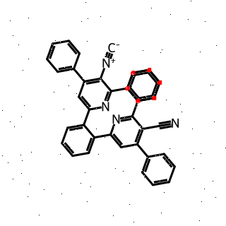 [C-]#[N+]c1c(-c2ccccc2)cc(-c2ccccc2-c2cc(-c3ccccc3)c(C#N)c(-c3ccccc3)n2)nc1-c1ccccc1